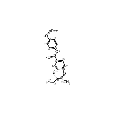 CCCCCCCCCCOc1ccc(OC(=O)c2ccc(O[C@H](C)[C@@H](F)CC(C)C)cc2)cc1